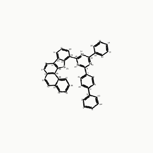 c1ccc(-c2ccc(-c3nc(-c4ccccc4)nc(-c4cccc5c4sc4c5ccc5ccc6ccccc6c54)n3)cc2)cc1